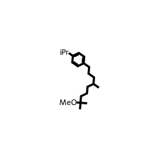 COC(C)(C)CCCC(C)CCCc1ccc(C(C)C)cc1